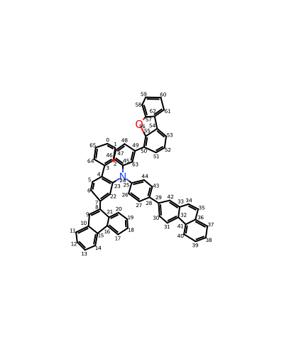 c1ccc(-c2ccc(-c3cc4ccccc4c4ccccc34)cc2N(c2ccc(-c3ccc4c(ccc5ccccc54)c3)cc2)c2cccc(-c3cccc4c3oc3ccccc34)c2)cc1